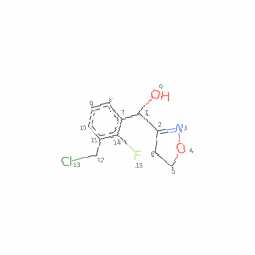 OC(C1=NOCC1)c1cccc(CCl)c1F